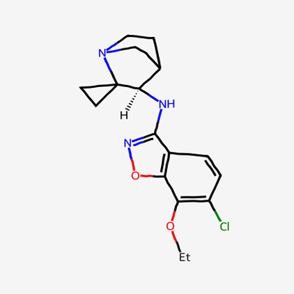 CCOc1c(Cl)ccc2c(N[C@@H]3C4CCN(CC4)C34CC4)noc12